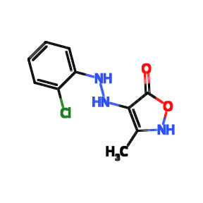 Cc1[nH]oc(=O)c1NNc1ccccc1Cl